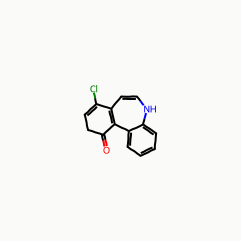 O=C1CC=C(Cl)C2=C1c1ccccc1NC=C2